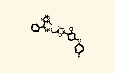 Cn1nnnc1/C(=N\OCc1nnc(-c2ccc(Oc3ccc(F)cc3)cc2Cl)o1)c1ccccc1